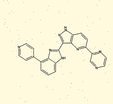 c1cc(-c2ccncc2)c2nc(-c3n[nH]c4ccc(-c5cnccn5)nc34)[nH]c2c1